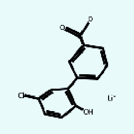 O=C([O-])c1cccc(-c2cc(Cl)ccc2O)c1.[Li+]